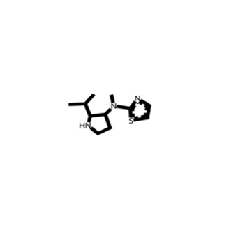 CC(C)C1NCCC1N(C)c1nccs1